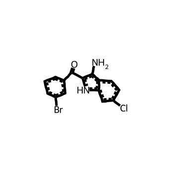 Nc1c(C(=O)c2cccc(Br)c2)[nH]c2cc(Cl)ccc12